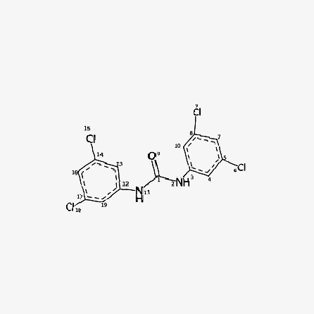 O=C(Nc1cc(Cl)cc(Cl)c1)Nc1cc(Cl)cc(Cl)c1